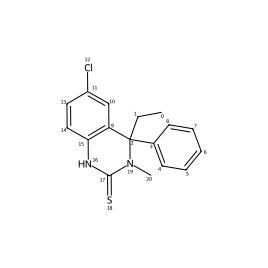 CCC1(c2ccccc2)c2cc(Cl)ccc2NC(=S)N1C